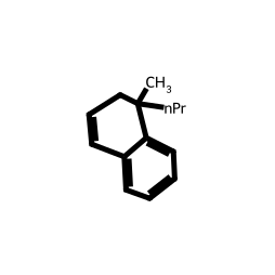 CCCC1(C)CC=Cc2ccccc21